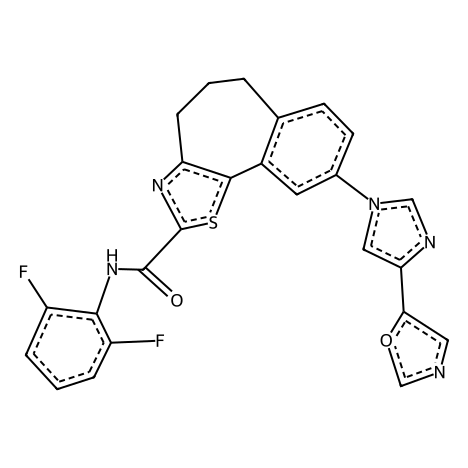 O=C(Nc1c(F)cccc1F)c1nc2c(s1)-c1cc(-n3cnc(-c4cnco4)c3)ccc1CCC2